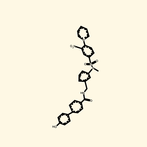 CN(c1cccc(CNC(=O)c2ccc(-c3ccc(O)cc3)cc2)c1)S(=O)(=O)c1ccc(-[n+]2ccccc2)c([N+](=O)[O-])c1